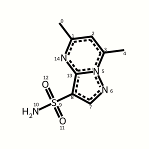 Cc1cc(C)n2ncc(S(N)(=O)=O)c2n1